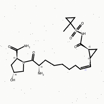 CC1(S(=O)(=O)NC(=O)[C@H]2C[C@H]2/C=C\CCCCC[C@H](N)C(=O)N2C[C@H](O)C[C@H]2C(N)=O)CC1